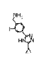 NCc1ccc(-c2nnc(C3CC3)[nH]2)cc1I